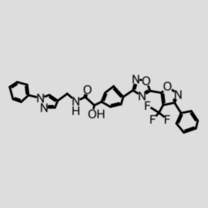 O=C(NCc1cnn(-c2ccccc2)c1)C(O)c1ccc(-c2noc(-c3onc(-c4ccccc4)c3C(F)(F)F)n2)cc1